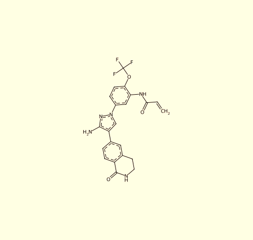 C=CC(=O)Nc1cc(-n2cc(-c3ccc4c(c3)CCNC4=O)c(N)n2)ccc1OC(F)(F)F